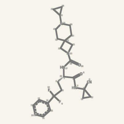 N#CC1(NC(=O)[C@H](CCC(F)(F)c2ccncc2)NC(=O)N2CC3(CCN(C4CC4)CC3)C2)CC1